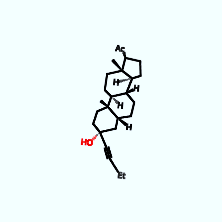 CCC#C[C@@]1(O)CC[C@@]2(C)[C@H](CC[C@@H]3[C@@H]2CC[C@]2(C)[C@@H](C(C)=O)CC[C@@H]32)C1